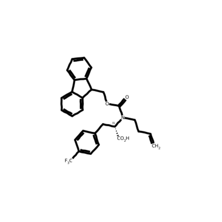 C=CCCN(C(=O)OCC1c2ccccc2-c2ccccc21)[C@@H](Cc1ccc(C(F)(F)F)cc1)C(=O)O